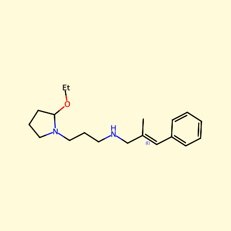 CCOC1CCCN1CCCNC/C(C)=C/c1ccccc1